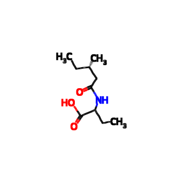 CCC(NC(=O)C[C@@H](C)CC)C(=O)O